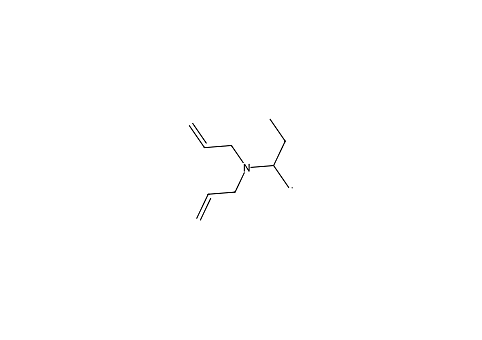 [CH2]C(CC)N(CC=C)CC=C